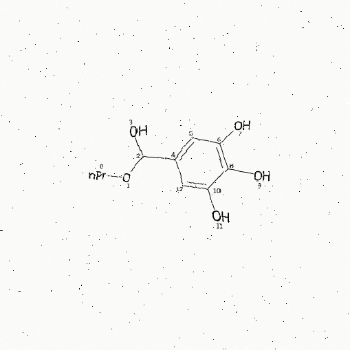 CCCOC(O)c1cc(O)c(O)c(O)c1